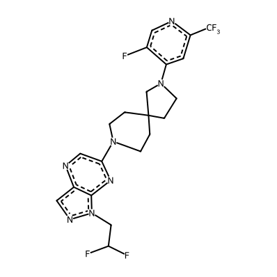 Fc1cnc(C(F)(F)F)cc1N1CCC2(CCN(c3cnc4cnn(CC(F)F)c4n3)CC2)C1